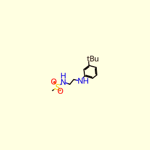 CC(C)(C)c1cccc(NCCNS(C)(=O)=O)c1